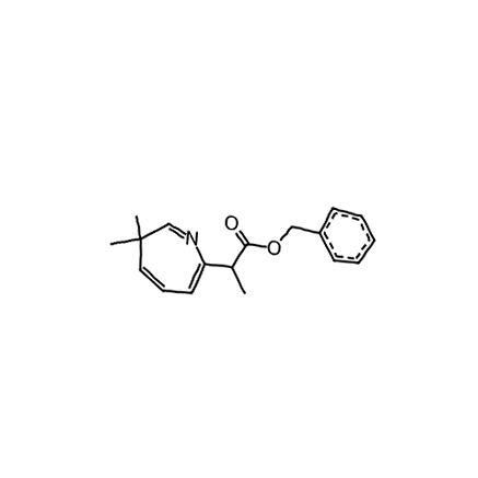 CC(C(=O)OCc1ccccc1)C1=CC=CC(C)(C)C=N1